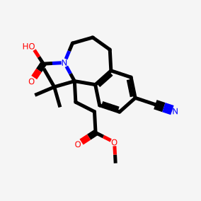 COC(=O)CCC1(C(C)(C)C)c2ccc(C#N)cc2CCCN1C(=O)O